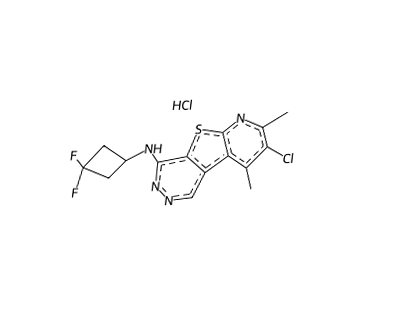 Cc1nc2sc3c(NC4CC(F)(F)C4)nncc3c2c(C)c1Cl.Cl